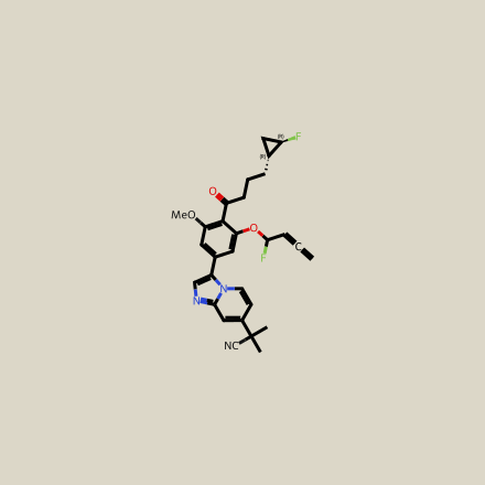 C=C=CC(F)Oc1cc(-c2cnc3cc(C(C)(C)C#N)ccn23)cc(OC)c1C(=O)CCC[C@@H]1C[C@H]1F